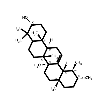 C[C@H]1[C@H](C)CC[C@]2(C)CC[C@]3(C)C(=CC[C@@H]4[C@@]5(C)CC[C@@H](O)C(C)(C)C5CC[C@]43C)[C@H]12